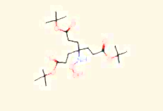 CC(C)(C)OC(=O)CCC(CCC(=O)OC(C)(C)C)(CCC(=O)OC(C)(C)C)NOO